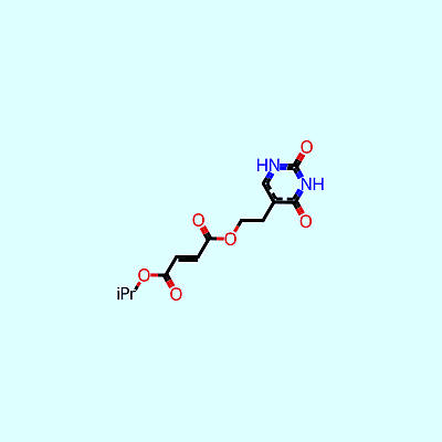 CC(C)OC(=O)/C=C/C(=O)OCCc1c[nH]c(=O)[nH]c1=O